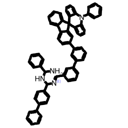 NC(NC(/N=C/c1cccc(-c2cccc(-c3ccc4c(c3)C3(c5ccccc5-4)c4ccccc4N(c4ccccc4)c4ccccc43)c2)c1)c1ccc(-c2ccccc2)cc1)c1ccccc1